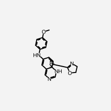 COc1ccc(NC2=CC3=CN=CNC34SC(C3=NCCO3)=NC4=C2)cc1